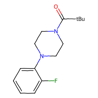 CC(C)(C)C(=O)N1CCN(c2ccccc2F)CC1